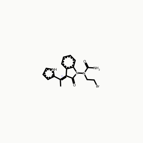 C/C(=C1\C(=O)N(N(CCBr)C(N)=O)c2ccccc21)c1ccc[nH]1